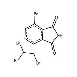 BrCC(Br)Br.O=C1NC(=O)c2c(Br)cccc21